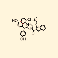 CN(C)CCn1c(C(=O)N2CCN(c3ccccc3Cl)C(C(c3ccc(O)cc3)c3ccc(O)cc3)C2)cc2ccccc21